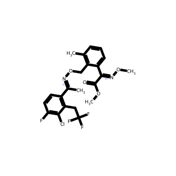 CO/N=C(/C(=O)OC)c1cccc(C)c1CO/N=C(\C)c1ccc(F)c(Cl)c1CC(F)(F)F